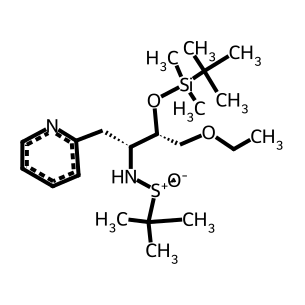 CCOC[C@@H](O[Si](C)(C)C(C)(C)C)[C@@H](Cc1ccccn1)N[S@+]([O-])C(C)(C)C